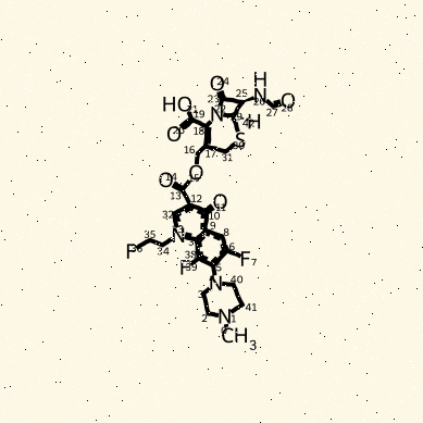 CN1CCN(c2c(F)cc3c(=O)c(C(=O)OCC4=C(C(=O)O)N5C(=O)[C@@H](NC=O)[C@H]5SC4)cn(CCF)c3c2F)CC1